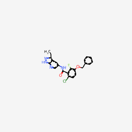 CCc1n[nH]c2ncc(NC(=O)c3c(Cl)ccc(OCc4ccccc4)c3F)cc12